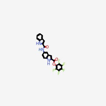 O=C(Nc1ccc2[nH]c(C(=O)Oc3c(F)c(F)c(F)c(F)c3F)cc2c1)c1cc2ccccc2[nH]1